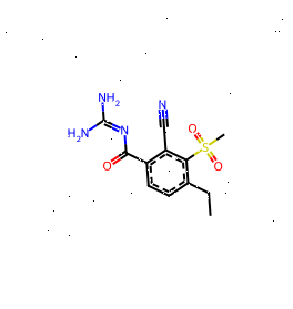 CCc1ccc(C(=O)N=C(N)N)c(C#N)c1S(C)(=O)=O